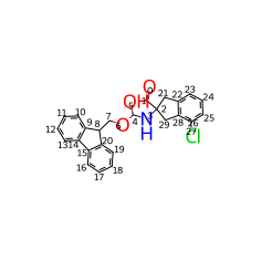 O=CC1(NC(O)OCC2c3ccccc3-c3ccccc32)Cc2cccc(Cl)c2C1